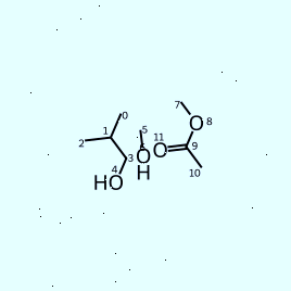 CC(C)CO.CO.COC(C)=O